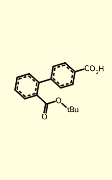 CC(C)(C)OC(=O)c1ccccc1-c1ccc(C(=O)O)cc1